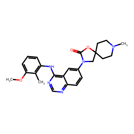 COc1cccc(Nc2ncnc3ccc(N4CC5(CCN(C)CC5)OC4=O)cc23)c1C